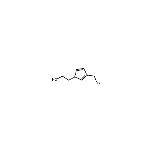 CC(C)C[n+]1ccn(CCO)c1